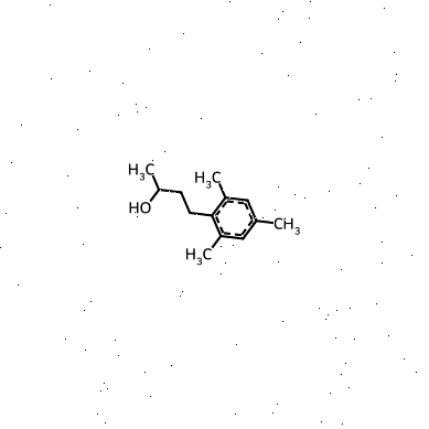 Cc1cc(C)c(CCC(C)O)c(C)c1